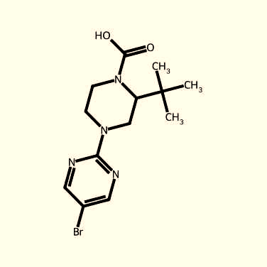 CC(C)(C)C1CN(c2ncc(Br)cn2)CCN1C(=O)O